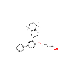 CC1(C)CCC(C)(C)c2cc(-c3cc(-c4ccccc4)ccc3OCCCCO)ccc21